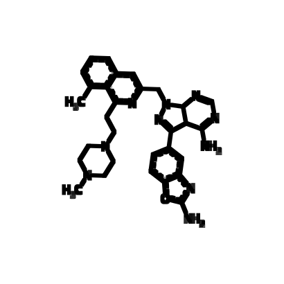 Cc1cccc2cc(CN3N=C(c4ccc5oc(N)nc5c4)C4C(N)=NC=NC43)nc(CCN3CCN(C)CC3)c12